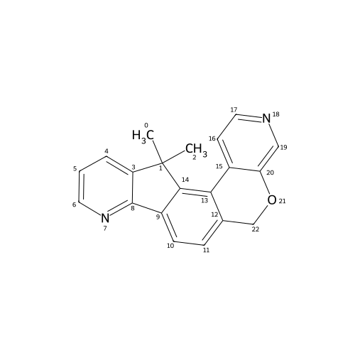 CC1(C)c2cccnc2-c2ccc3c(c21)-c1ccncc1OC3